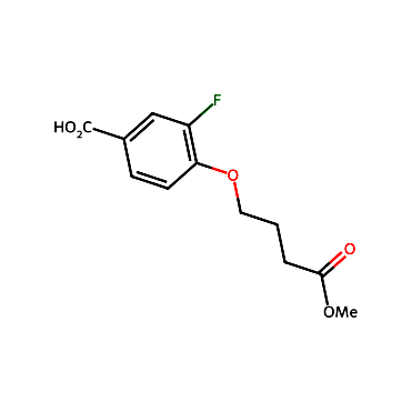 COC(=O)CCCOc1ccc(C(=O)O)cc1F